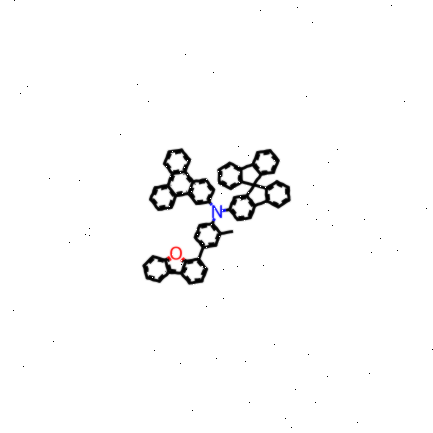 Cc1cc(-c2cccc3c2oc2ccccc23)ccc1N(c1ccc2c(c1)C1(c3ccccc3-c3ccccc31)c1ccccc1-2)c1ccc2c3ccccc3c3ccccc3c2c1